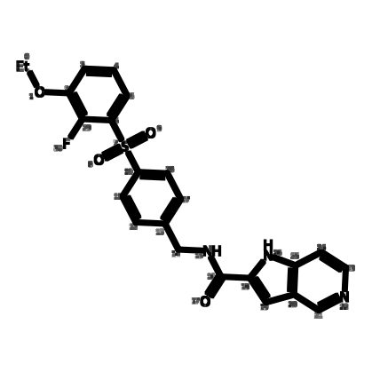 CCOc1cccc(S(=O)(=O)c2ccc(CNC(=O)c3cc4cnccc4[nH]3)cc2)c1F